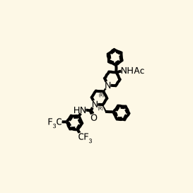 CC(=O)NC1(c2ccccc2)CCN([C@@H]2CCN(C(=O)Nc3cc(C(F)(F)F)cc(C(F)(F)F)c3)[C@H](Cc3ccccc3)C2)CC1